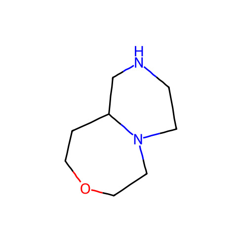 C1CN2CCOCCC2CN1